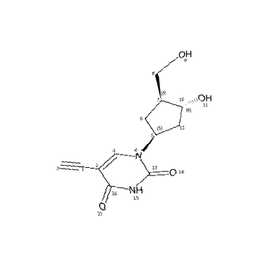 C#Cc1cn([C@H]2C[C@@H](CO)[C@H](O)C2)c(=O)[nH]c1=O